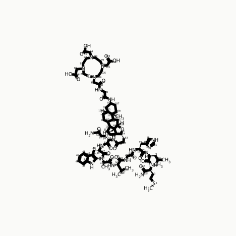 CSCC[C@H](NC(=O)[C@H](CC(C)C)NC(=O)[C@H](Cc1c[nH]cn1)NC(=O)CNC(=O)[C@@H](NC(=O)[C@H](C)NC(=O)[C@H](Cc1c[nH]c2ccccc12)NC(=O)[C@H](CCC(N)=O)NC(=O)CC[C@H]1O[C@H]2CC3C(CC[C@@H]4C[C@@H](NC(=O)CNC(=O)CN5CCN(CC(=O)O)CCN(CC(=O)O)CCN(CC(=O)O)CC5)CC[C@]34C)C3CC[C@H]1[C@]32C)C(C)C)C(N)=O